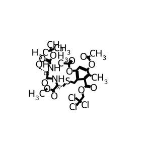 COC(=O)[C@@H](CSCc1c(OC(C)=O)cc(OC(C)=O)c(C)c1C(=O)OCC(Cl)(Cl)Cl)NC(=O)[C@H](CO)NC(=O)OC(C)(C)C